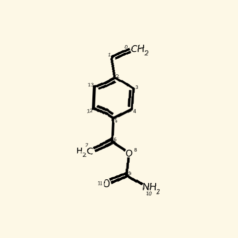 C=Cc1ccc(C(=C)OC(N)=O)cc1